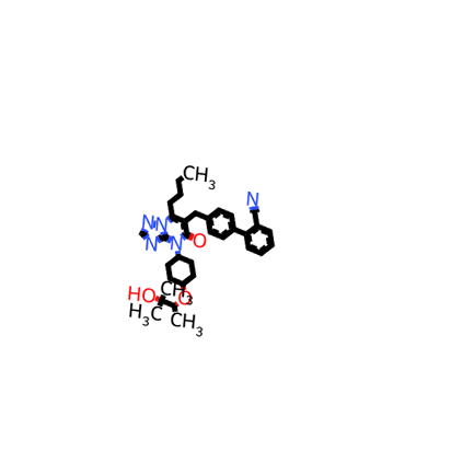 CCCCc1c(Cc2ccc(-c3ccccc3C#N)cc2)c(=O)n(C2CCC(OC(C)C(C)(C)O)CC2)c2ncnn12